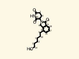 O=C1CCC(N2Cc3c(CCCCCCO)cccc3C2=O)C(=O)N1